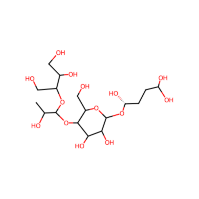 CC(O)C(OC(CO)C(O)CO)OC1C(CO)OC(O[C@H](O)CCC(O)O)C(O)C1O